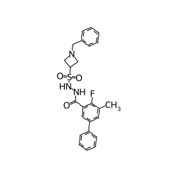 Cc1cc(-c2ccccc2)cc(C(=O)NNS(=O)(=O)C2CN(Cc3ccccc3)C2)c1F